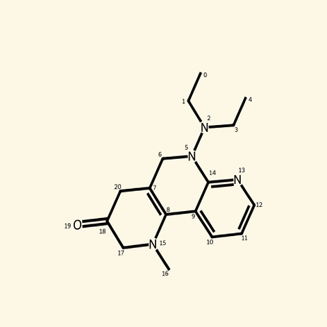 CCN(CC)N1CC2=C(c3cccnc31)N(C)CC(=O)C2